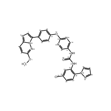 COc1ccc2ncc(-c3ccc(Oc4ncc(NC(=O)Nc5cc(Cl)ccc5-n5cccn5)cn4)cc3)n2n1